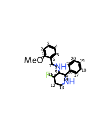 COc1ccccc1CNC1C(F)CCNC1c1ccccc1